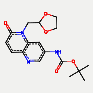 CC(C)(C)OC(=O)Nc1cnc2ccc(=O)n(CC3OCCO3)c2c1